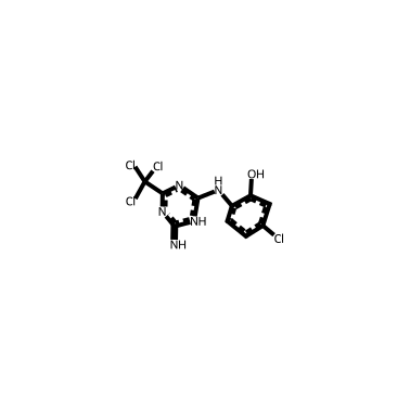 N=c1nc(C(Cl)(Cl)Cl)nc(Nc2ccc(Cl)cc2O)[nH]1